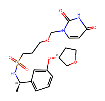 C[C@@H](NS(=O)(=O)CCCOCn1ccc(=O)[nH]c1=O)c1cccc(O[C@@H]2CCOC2)c1